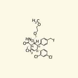 CC[C@@]12C=C[C@@H](c3ccc(Cl)cc3Cl)[C@H](c3ccc(CI)cc3)[C@@H]1[C@@H](COCCOC)NC2=O